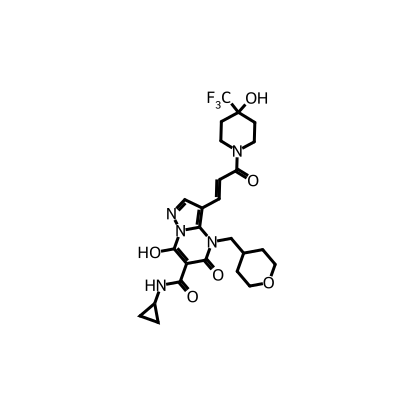 O=C(NC1CC1)c1c(O)n2ncc(C=CC(=O)N3CCC(O)(C(F)(F)F)CC3)c2n(CC2CCOCC2)c1=O